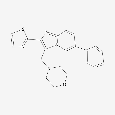 c1ccc(-c2ccc3nc(-c4nccs4)c(CN4CCOCC4)n3c2)cc1